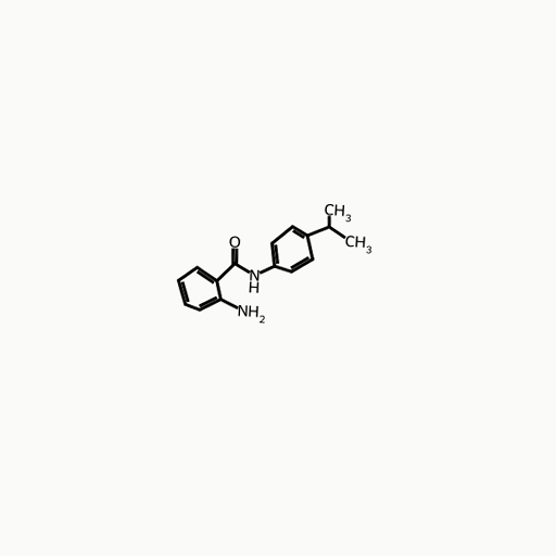 CC(C)c1ccc(NC(=O)c2ccccc2N)cc1